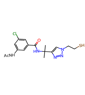 CC(=O)Nc1cc(Cl)cc(C(=O)NC(C)(C)c2cn(CCS)nn2)c1